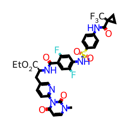 CCOC(=O)[C@H](Cc1ccc(-n2c(=O)ccn(C)c2=O)nc1)NC(=O)c1cc(F)c(NS(=O)(=O)c2ccc(NC(=O)C3(C(F)(F)F)CC3)cc2)cc1F